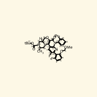 COCOc1cccc(F)c1-c1nc2c(cc1F)c1c(c(=O)n2-c2ccccc2C(C)C)OC[C@H]2CN(C(=O)OC(C)(C)C)[C@H](C)CN12